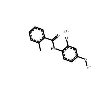 Cc1ccccc1C(=O)Pc1ccc(OC(C)C)cc1Cl.[LiH]